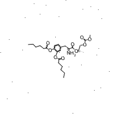 CCCCCC(=O)Oc1ccc(C[C@H](N)C(=O)O[C@@H](C)COC(=O)OC)cc1OC(=O)CCCCC